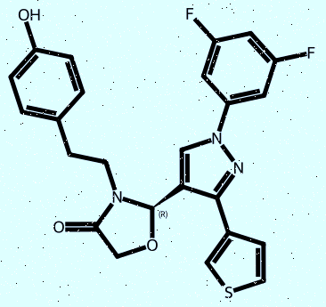 O=C1CO[C@H](c2cn(-c3cc(F)cc(F)c3)nc2-c2ccsc2)N1CCc1ccc(O)cc1